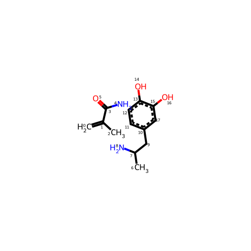 C=C(C)C(N)=O.CC(N)Cc1ccc(O)c(O)c1